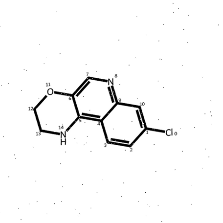 Clc1ccc2c3c(cnc2c1)OCCN3